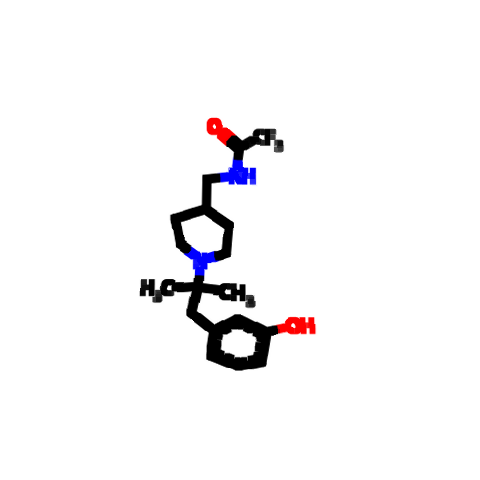 CC(C)(Cc1cccc(O)c1)N1CCC(CNC(=O)C(F)(F)F)CC1